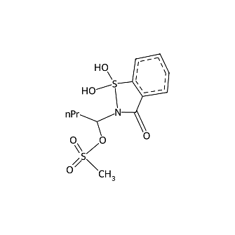 CCCC(OS(C)(=O)=O)N1C(=O)c2ccccc2S1(O)O